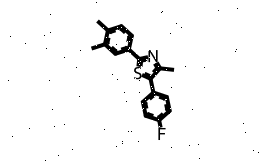 Cc1ccc(-c2nc(C)c(-c3ccc(F)cc3)s2)cc1C